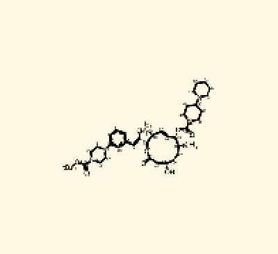 C/C(=C\c1cccc(N2CCN(C(=O)OC(C)(C)C)CC2)c1)[C@H]1OC(=O)C[C@H](O)CC[C@H](C)[C@@H](OC(=O)N2CCC(N3CCCCC3)CC2)/C=C/[C@@H]1C